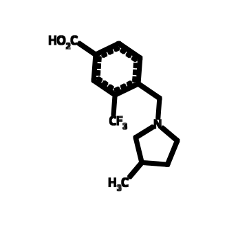 CC1CCN(Cc2ccc(C(=O)O)cc2C(F)(F)F)C1